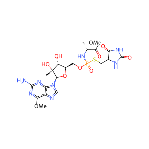 COC(=O)[C@@H](C)N[P@@](=O)(OC[C@H]1O[C@@H](n2cnc3c(OC)nc(N)nc32)[C@](C)(O)[C@@H]1O)SCC1NC(=O)NC1=O